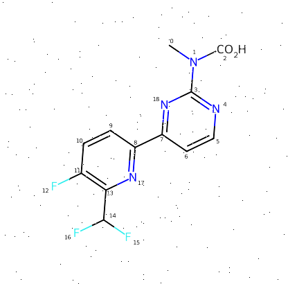 CN(C(=O)O)c1nccc(-c2ccc(F)c(C(F)F)n2)n1